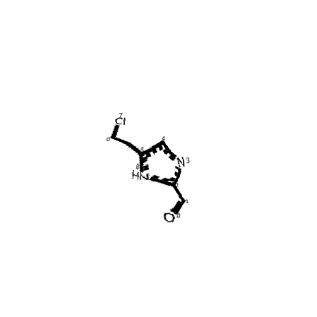 O=Cc1ncc(CCl)[nH]1